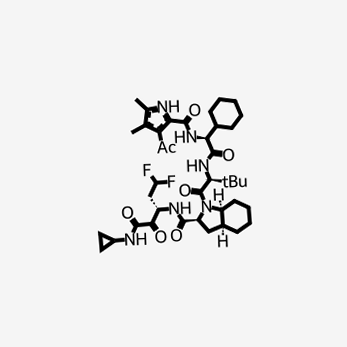 CC(=O)c1c(C(=O)N[C@H](C(=O)N[C@H](C(=O)N2[C@H](C(=O)N[C@@H](CC(F)F)C(=O)C(=O)NC3CC3)C[C@@H]3CCCC[C@@H]32)C(C)(C)C)C2CCCCC2)[nH]c(C)c1C